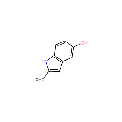 O=[C]c1cc2cc(O)ccc2[nH]1